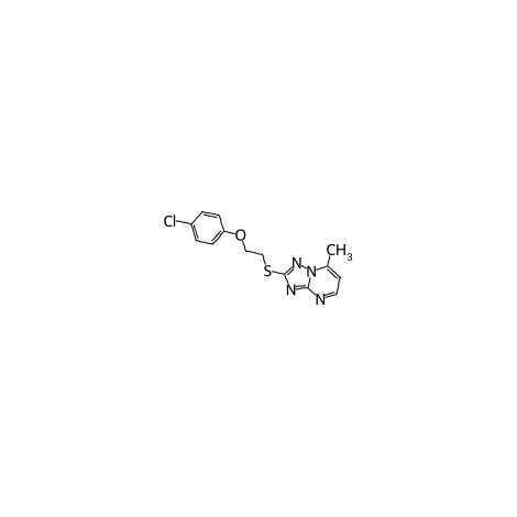 Cc1ccnc2nc(SCCOc3ccc(Cl)cc3)nn12